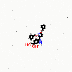 Cn1nc(-c2ccc(OCc3ccccc3)nc2OCc2ccccc2)c2ccc(C(O)CO)cc21